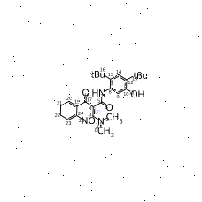 CN(C)/C=C(\C(=O)Nc1cc(O)c(C(C)(C)C)cc1C(C)(C)C)C(=O)C1=CCCC=C1[N+](=O)[O-]